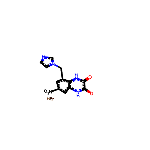 Br.O=c1[nH]c2cc([N+](=O)[O-])cc(Cn3ccnc3)c2[nH]c1=O